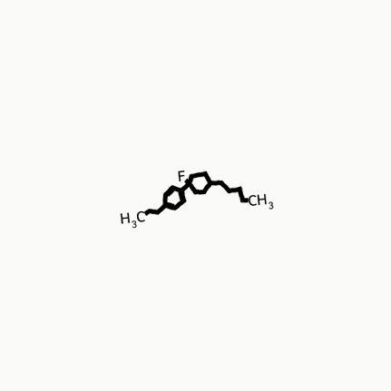 CCCCCC1CCC(F)(c2ccc(CCC)cc2)CC1